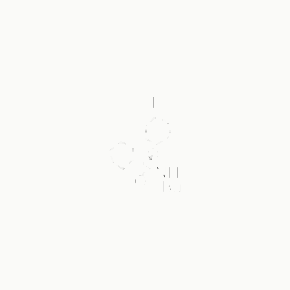 CC(C)(C)NS(=O)(=O)c1ccccc1-c1cc[c]c(F)c1